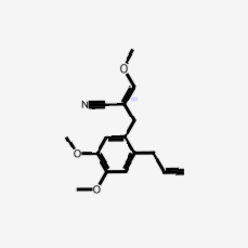 C=CCc1cc(OC)c(OC)cc1C/C(C#N)=C/OC